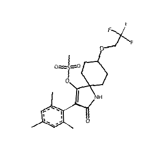 Cc1cc(C)c(C2=C(OS(C)(=O)=O)C3(CCC(OCC(F)(F)F)CC3)NC2=O)c(C)c1